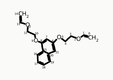 C=COCCOc1cc(OCCOC=C)c2ccccc2c1